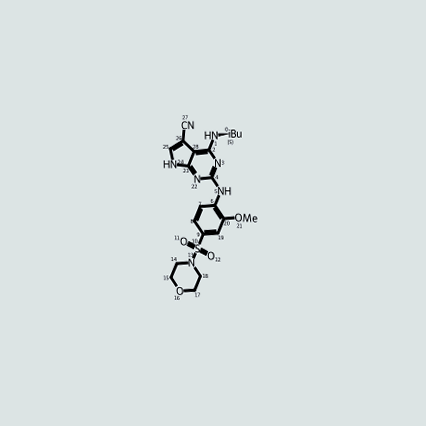 CC[C@H](C)Nc1nc(Nc2ccc(S(=O)(=O)N3CCOCC3)cc2OC)nc2[nH]cc(C#N)c12